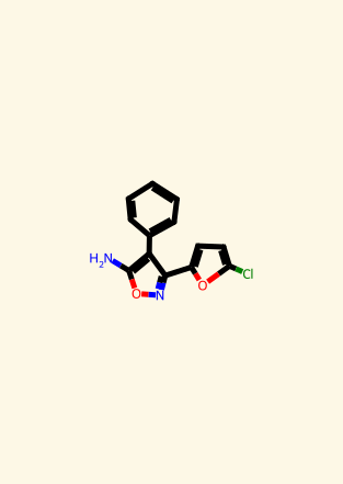 Nc1onc(-c2ccc(Cl)o2)c1-c1ccccc1